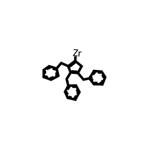 [Zr][C]1=C(Cc2ccccc2)C(Cc2ccccc2)=C(Cc2ccccc2)C1